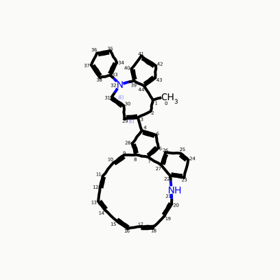 CC1C/C(c2ccc3c(cccccccccccc[nH]c4ccccc43)c2)=C\C=C\N(c2ccccc2)c2ccccc21